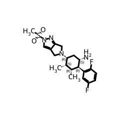 C[C@@H]1[C@H](C)[C@H](N2Cc3cn(S(C)(=O)=O)nc3C2)C[C@H](N)[C@H]1c1cc(F)ccc1F